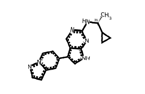 C[C@@H](Nc1ncc2c(-c3ccn4nccc4c3)c[nH]c2n1)C1CC1